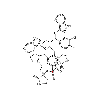 O=C(O[N@@+]1(CCN2CCCC2C(Oc2c[nH]c3ccccc23)c2ccc(F)c(Cl)c2)CCNC1=O)C(=O)O[N@@+]1(CCN2CCCC2C(Oc2c[nH]c3ccccc23)c2ccc(F)c(Cl)c2)CCNC1=O